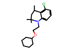 CC1CC(C)(C)N(CCOC2CCCCC2)c2cccc(Cl)c21